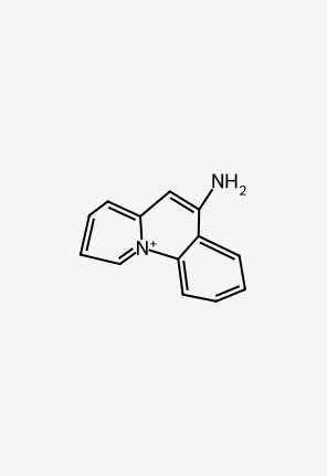 Nc1cc2cccc[n+]2c2ccccc12